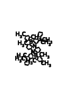 Cc1cc(C)c(B2c3cc4c(cc3N3c5cccc6c5N(c5cc7c(cc5B6c5c(C)cc(C)cc5C)-c5ccccc5C7(C)C)c5cccc2c53)C(C)(C)c2ccccc2-4)c(C)c1